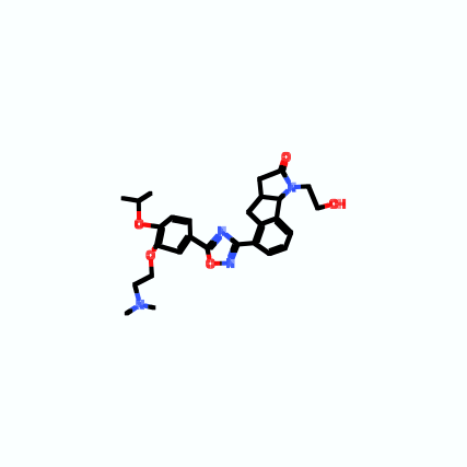 CC(C)Oc1ccc(-c2nc(-c3cccc4c3CC3CC(=O)N(CCO)C43)no2)cc1OCCN(C)C